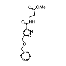 COC(=O)CCNC(=O)c1cc(COCc2ccccc2)on1